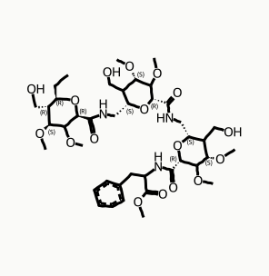 CC[C@H]1O[C@@H](C(=O)NC[C@H]2O[C@@H](C(=O)NC[C@H]3O[C@@H](C(=O)NC(Cc4ccccc4)C(=O)OC)C(OC)[C@@H](OC)C3CO)C(OC)[C@@H](OC)C2CO)C(OC)[C@@H](OC)[C@@H]1CO